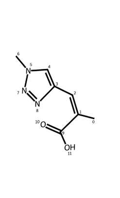 CC(=Cc1cn(C)nn1)C(=O)O